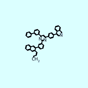 C=C/C=C\c1cc2ccccc2cc1-c1cccc(-c2nc(-c3ccc(-c4cncc5ccccc45)cc3)cc(-c3cccc(-c4ccccc4)c3)n2)c1